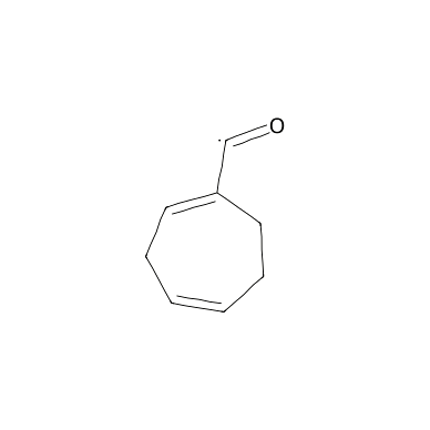 O=[C]C1=CCC=CCC1